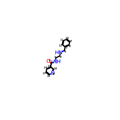 O=C(NCCNCc1ccccc1)c1cccnc1